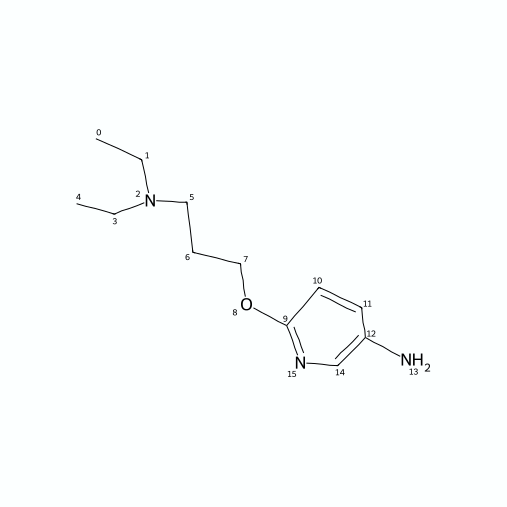 CCN(CC)CCCOc1ccc(N)cn1